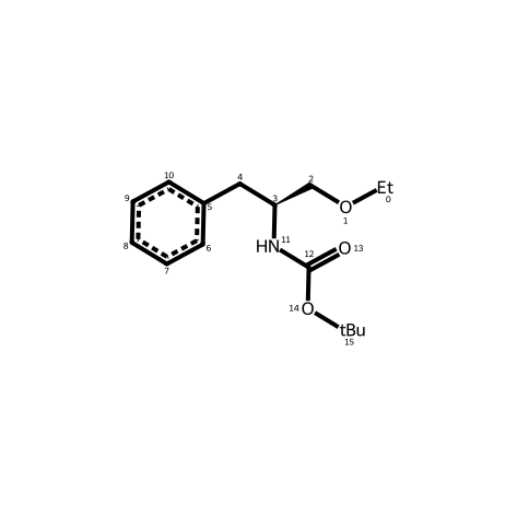 CCOC[C@H](Cc1ccccc1)NC(=O)OC(C)(C)C